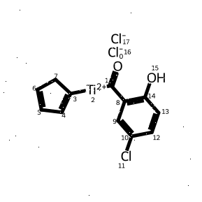 O=[C]([Ti+2][C]1=CC=CC1)c1cc(Cl)ccc1O.[Cl-].[Cl-]